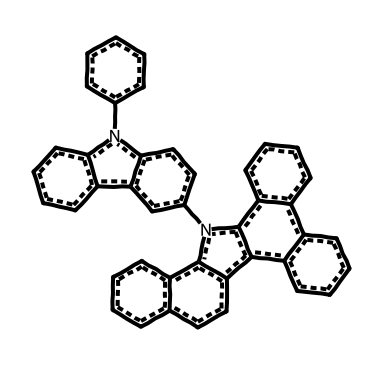 c1ccc(-n2c3ccccc3c3cc(-n4c5c6ccccc6ccc5c5c6ccccc6c6ccccc6c54)ccc32)cc1